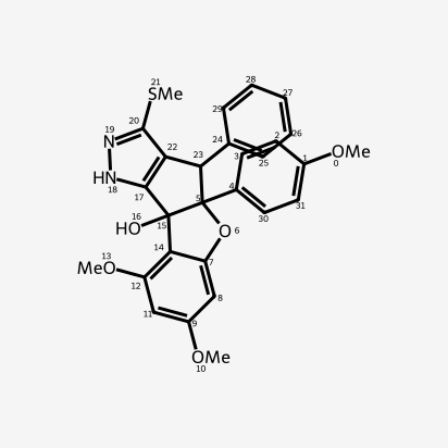 COc1ccc(C23Oc4cc(OC)cc(OC)c4C2(O)c2[nH]nc(SC)c2C3c2ccccc2)cc1